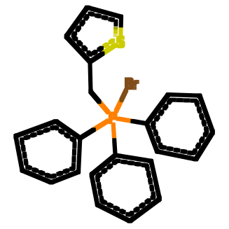 BrP(Cc1cccs1)(c1ccccc1)(c1ccccc1)c1ccccc1